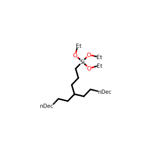 CCCCCCCCCCCC[C](CCCCCCCCCCCC)CCC[Si](OCC)(OCC)OCC